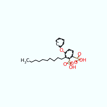 CCCCCCCCCCc1c(Oc2ccccc2)ccc(S(=O)(=O)O)c1S(=O)(=O)O